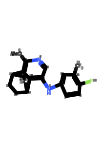 COc1ncc(Nc2ccc(F)c(C(F)(F)F)c2)c2c1C1CCC2CC1